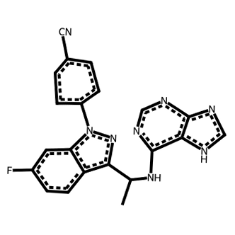 CC(Nc1ncnc2nc[nH]c12)c1nn(-c2ccc(C#N)cc2)c2cc(F)ccc12